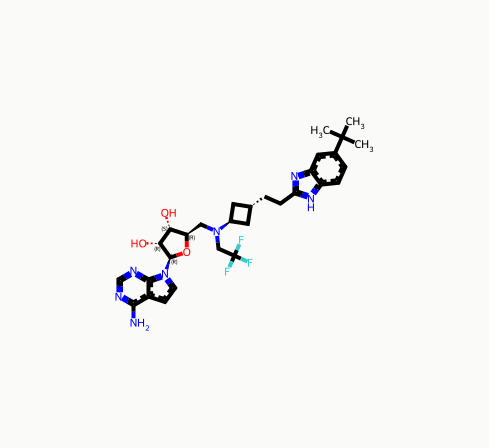 CC(C)(C)c1ccc2[nH]c(CC[C@H]3C[C@H](N(C[C@H]4O[C@@H](n5ccc6c(N)ncnc65)[C@H](O)[C@@H]4O)CC(F)(F)F)C3)nc2c1